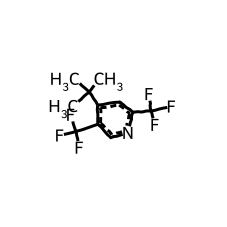 CC(C)(C)c1cc(C(F)(F)F)ncc1C(F)(F)F